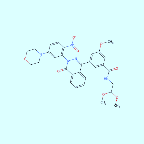 COc1cc(C(=O)NCC(OC)OC)cc(-c2nn(-c3cc(N4CCOCC4)ccc3[N+](=O)[O-])c(=O)c3ccccc23)c1